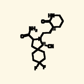 N#C[C@H]1N(CC[C@@H]2CCCNC2=O)C(C(N)=O)CC12CCC(F)(F)CC2